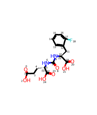 O=C(O)CC[C@H](NC(=O)N[C@@H](Cc1ccccc1F)C(=O)O)C(=O)O